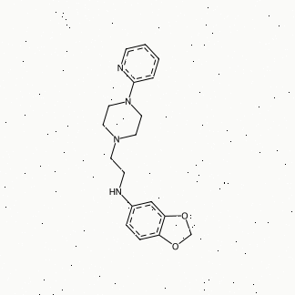 c1ccc(N2CCN(CCNc3ccc4c(c3)OCO4)CC2)nc1